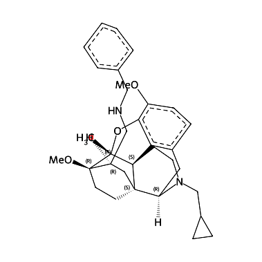 COc1ccc2c3c1O[C@H]1[C@@]4(OC)CC[C@@]5(C[C@]4(C)CNCc4ccccc4)[C@@H](C2)N(CC2CC2)CC[C@]315